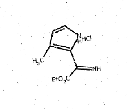 CCOC(=O)C(=N)c1[nH]ccc1C.Cl